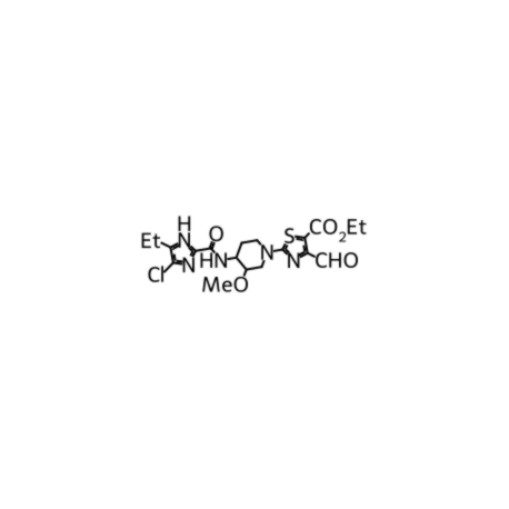 CCOC(=O)c1sc(N2CCC(NC(=O)c3nc(Cl)c(CC)[nH]3)C(OC)C2)nc1C=O